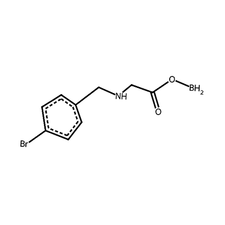 BOC(=O)CNCc1ccc(Br)cc1